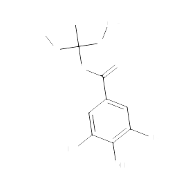 CCCCCCCCSC(C)(OC(=O)c1cc(C(C)(C)C)c(O)c(C(C)(C)C)c1)SCCCCCCCC